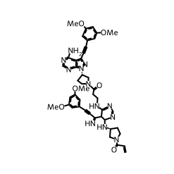 C=CC(=O)N1CC[C@H](NC2N=CN=C(NCCC(=O)N3CC[C@H](n4nc(C#Cc5cc(OC)cc(OC)c5)c5c(N)ncnc54)C3)C2C(=N)C#Cc2cc(OC)cc(OC)c2)C1